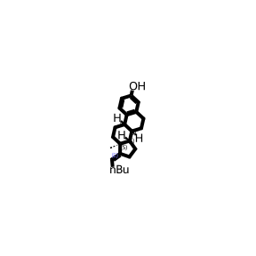 CCCC/C=C1\CC[C@H]2[C@@H]3CCc4cc(O)ccc4[C@H]3CC[C@]12C